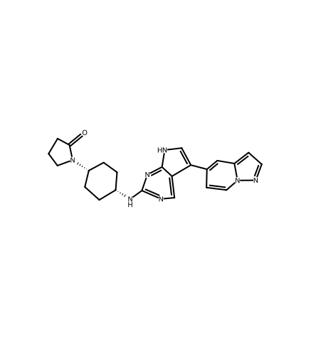 O=C1CCCN1[C@H]1CC[C@@H](Nc2ncc3c(-c4ccn5nccc5c4)c[nH]c3n2)CC1